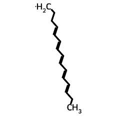 [CH2]CCC=CC=CC=CC=CC=CCC